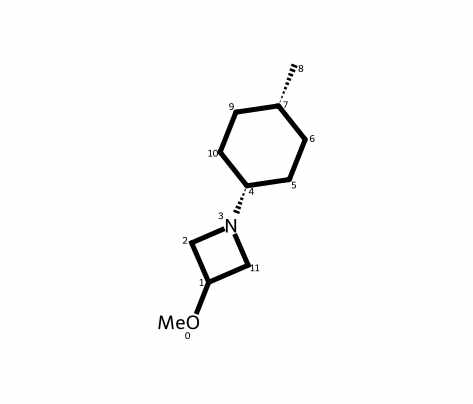 COC1CN([C@H]2CC[C@@H](C)CC2)C1